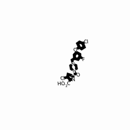 O=C(O)c1nn(C(=O)N2CCN(Cc3cc(F)cc(Oc4ccc(Cl)cc4)c3)CC2)cc1Cl